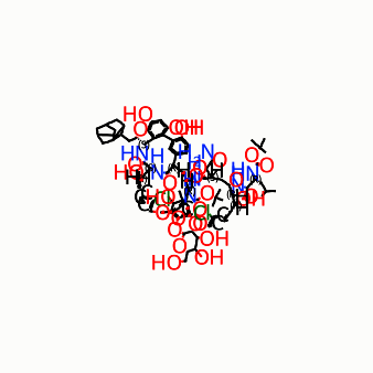 CC(C)C[C@@H](NC(=O)OC(C)(C)C)C(=O)N[C@H]1C(=O)C[C@@H](CC(N)=O)C(=O)N[C@H]2C(=O)C[C@H]3C(=O)N[C@H](C(=O)N[C@H](C(=O)CC4C5CC6CC(C5)CC4C6)c4cc(O)cc(O)c4-c4cc3ccc4O)[C@H](O)c3ccc(c(Cl)c3)Oc3cc2cc(c3OC2OC(CO)C(O)C(O)C2OC2CC(C)(NC(=O)OC(C)(C)C)C(O)C(C)O2)Oc2ccc(cc2Cl)[C@H]1O